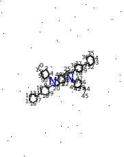 CCc1ccc(-n2c(C3=CC=C(C4=CC=CCC4)CC3)cc3cc4c(cc(-c5ccc(-c6ccccc6)cc5)n4-c4ccc(CC)cc4)cc32)cc1